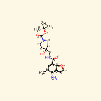 Cc1cc(C(=O)NCC2(O)CCN(C(=O)OC(C)(C)C)CC2)c2occc2c1N